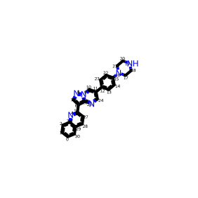 c1ccc2nc(-c3cnn4cc(-c5ccc(N6CCNCC6)cc5)cnc34)ccc2c1